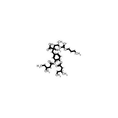 CCCCOC(=O)O[C@@H](C)CC(N)(Cc1ccc(OC(=O)CC(C)CC)c(OC(=O)CC(C)CC)c1)C(=O)O